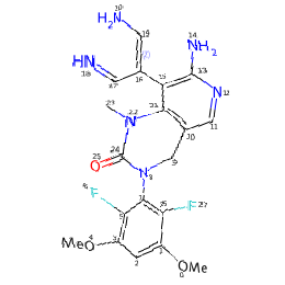 COc1cc(OC)c(F)c(N2Cc3cnc(N)c(/C(C=N)=C/N)c3N(C)C2=O)c1F